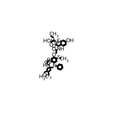 CCCCC1(CCCC)CN(c2ccccc2)c2cc(SC)c(OCC(=O)NC(C(=O)N[C@@H](CCC)C(=O)O)C3C=CC(O)=CC3C)cc2S(=O)(=O)N1